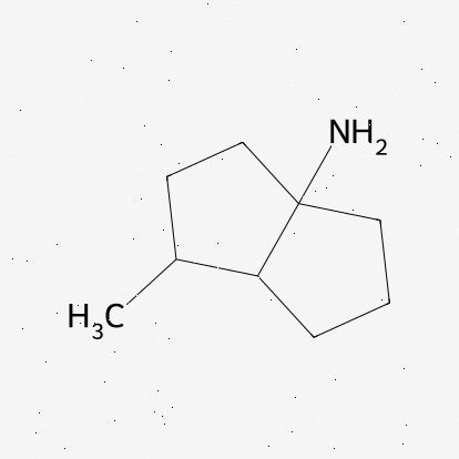 CC1CCC2(N)CCCC12